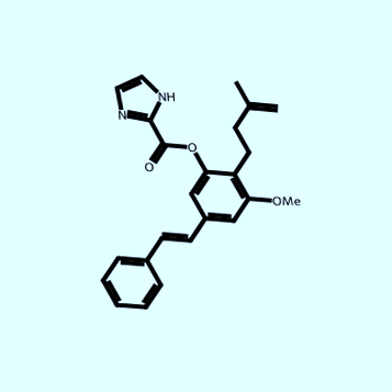 C=C(C)CCc1c(OC)cc(/C=C/c2ccccc2)cc1OC(=O)c1ncc[nH]1